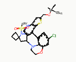 CC(C)(C)[Si](C)(C)OCc1cc2nccc(-c3cc(Cl)cc4c3N(C3CN(S(=O)(=O)C(C)(C)C)C5(CCC5)C3)CCO4)c2s1